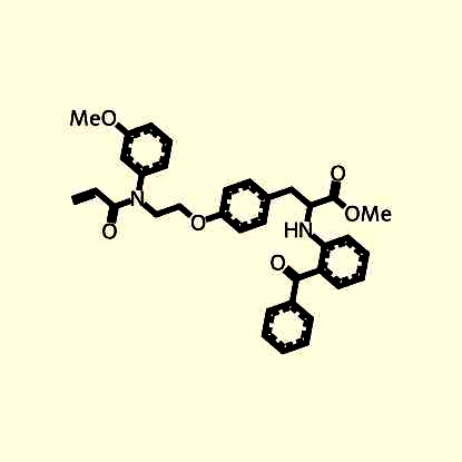 C=CC(=O)N(CCOc1ccc(CC(Nc2ccccc2C(=O)c2ccccc2)C(=O)OC)cc1)c1cccc(OC)c1